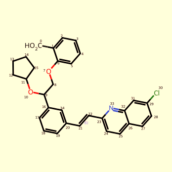 O=C(O)c1ccccc1OCC(OC1CCCC1)c1cccc(/C=C/c2ccc3ccc(Cl)cc3n2)c1